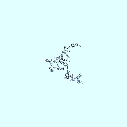 C/N=C/[C@H]1CC(F)(F)CN1C(=O)CNC(=O)c1ccnc2ccc(OCCCCN3CCN(C(=O)[C@H](C)NC(=O)[C@H](CCCC/N=C(\C)NC(=O)CCCc4ccc(C)cc4)NC(=O)CN4CCN(CC(=O)O)CCN(CC(=O)O)CCN(CC(=O)O)CC4)CC3)cc12